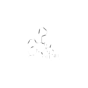 CC(C)CN1C(=O)C(N)(C(=O)[C@H](C)N)N=C(c2ccccc2)c2ccccc21